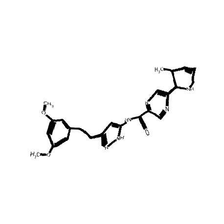 COc1cc(CCc2cc(NC(=O)c3cnc(C4NCC=CC4C)cn3)[nH]n2)cc(OC)c1